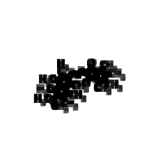 Cc1c(C)c(C)c2c(c1C)C(=O)C(=C/C=C/c1c(C)c(C)c3c(C)c(N(C)C)c(C)c(C)c3c1C)C2=O